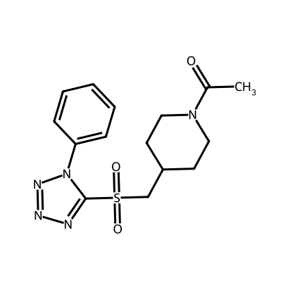 CC(=O)N1CCC(CS(=O)(=O)c2nnnn2-c2ccccc2)CC1